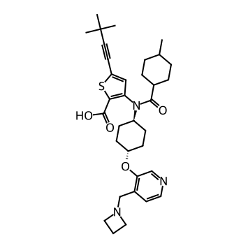 CC1CCC(C(=O)N(c2cc(C#CC(C)(C)C)sc2C(=O)O)[C@H]2CC[C@H](Oc3cnccc3CN3CCC3)CC2)CC1